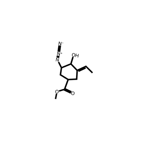 C/C=C1\CC(C(=O)OC)CC(N=[N+]=[N-])C1O